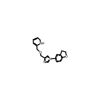 C1=CCNC(COCc2cn(-c3ccc4c(c3)CCO4)cn2)=C1